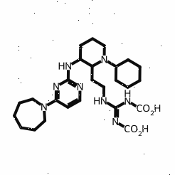 O=C(O)N=C(NCCC1C(Nc2nccc(N3CCCCCC3)n2)CCCN1C1CCCCC1)NC(=O)O